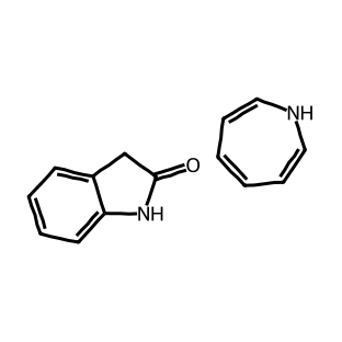 C1=CC=CNC=C1.O=C1Cc2ccccc2N1